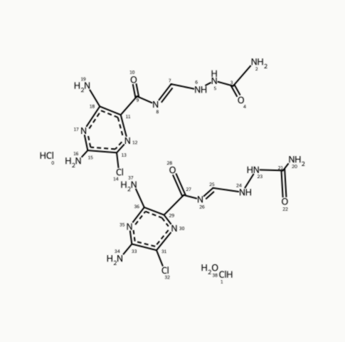 Cl.Cl.NC(=O)NNC=NC(=O)c1nc(Cl)c(N)nc1N.NC(=O)NNC=NC(=O)c1nc(Cl)c(N)nc1N.O